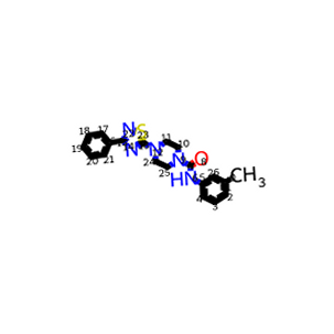 Cc1cccc(NC(=O)N2CCN(c3nc(-c4ccccc4)ns3)CC2)c1